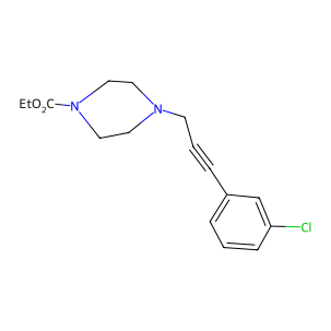 CCOC(=O)N1CCN(CC#Cc2cccc(Cl)c2)CC1